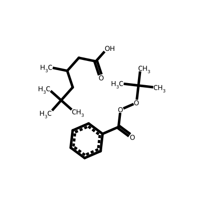 CC(C)(C)OOC(=O)c1ccccc1.CC(CC(=O)O)CC(C)(C)C